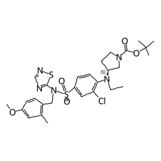 CCN(c1ccc(S(=O)(=O)N(Cc2ccc(OC)cc2C)c2ncns2)cc1Cl)[C@H]1CCN(C(=O)OC(C)(C)C)C1